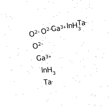 [Ga+3].[Ga+3].[InH3].[InH3].[O-2].[O-2].[O-2].[Ta].[Ta]